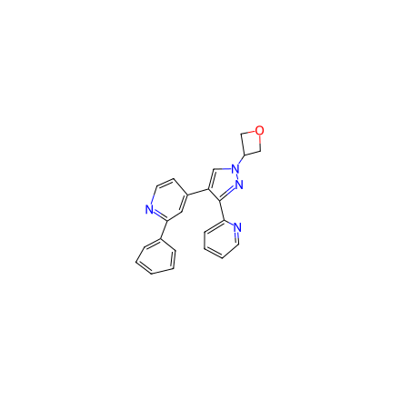 c1ccc(-c2cc(-c3cn(C4COC4)nc3-c3ccccn3)ccn2)cc1